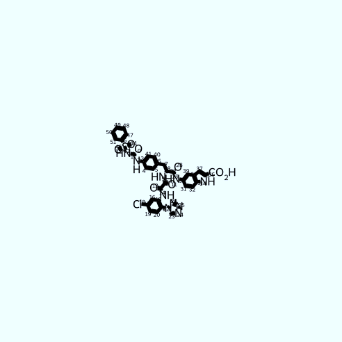 O=C(Nc1ccc(CC(NC(=O)C(=O)Nc2cc(Cl)ccc2-n2cnnn2)C(=O)Nc2ccc3[nH]c(C(=O)O)cc3c2)cc1)NS(=O)(=O)c1ccccc1